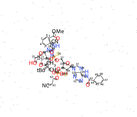 COC(=O)c1cccc2c1NNN2[C@@H]1O[C@H](CO)C(O[Si](C)(C)C(C)(C)C)[C@H]1OP(=S)(OCCC#N)OC[C@H]1O[C@@H](n2cnc3c(NC(=O)c4ccccc4)ncnc32)[C@H](F)[C@@H]1OP(=O)(O)OCCC#N